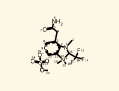 CN1c2c(CC(N)=O)cccc2[N+](C)(C)C1C(F)(F)F.COS(=O)(=O)[O-]